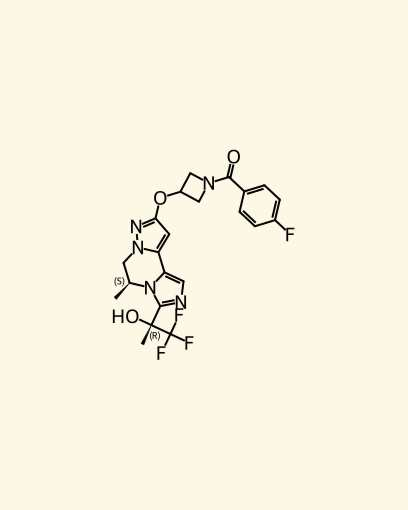 C[C@H]1Cn2nc(OC3CN(C(=O)c4ccc(F)cc4)C3)cc2-c2cnc([C@@](C)(O)C(F)(F)F)n21